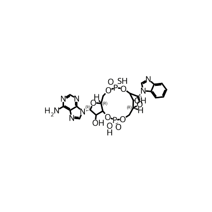 Nc1ncnc2c1ncn2[C@@H]1O[C@@H]2COP(=O)(S)OC3C(O)[C@@H](COP(=O)(O)OC2C1O)O[C@H]3n1cnc2ccccc21